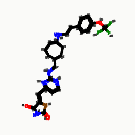 O=C1NC(=O)/C(=C/c2ccnc(N=CC3CCC[C@@H](NCCc4ccc(OC(F)(F)F)cc4)CC3)n2)S1